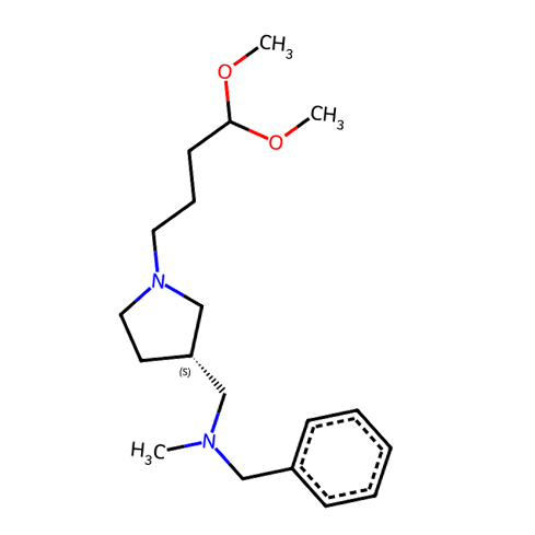 COC(CCCN1CC[C@@H](CN(C)Cc2ccccc2)C1)OC